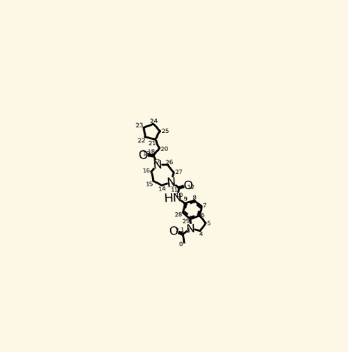 CC(=O)N1CCc2ccc(NC(=O)N3CCCN(C(=O)CC4CCCC4)CC3)cc21